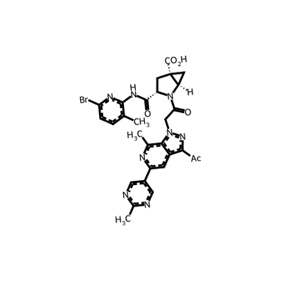 CC(=O)c1nn(CC(=O)N2[C@H](C(=O)Nc3nc(Br)ccc3C)C[C@@]3(C(=O)O)C[C@@H]23)c2c(C)nc(-c3cnc(C)nc3)cc12